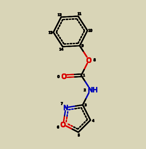 O=C(Nc1ccon1)Oc1ccccc1